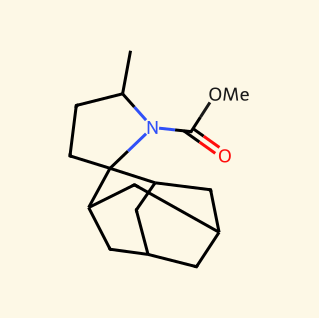 COC(=O)N1C(C)CCC12C1CC3CC(C1)CC2C3